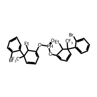 CCC1C(O[PH](=O)OC2=CC=CC(c3ccccc3Br)(C(F)(F)F)C2CC)=CC=CC1(c1ccccc1Br)C(F)(F)F